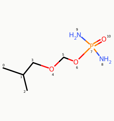 CC(C)COCOP(N)(N)=O